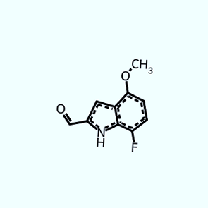 COc1ccc(F)c2[nH]c(C=O)cc12